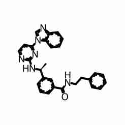 C[C@H](Nc1nccc(-n2cnc3ccccc32)n1)c1cccc(C(=O)NCCc2ccccc2)c1